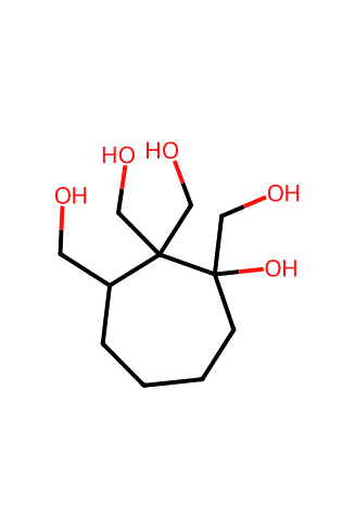 OCC1CCCCC(O)(CO)C1(CO)CO